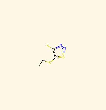 CCSc1snnc1[S]